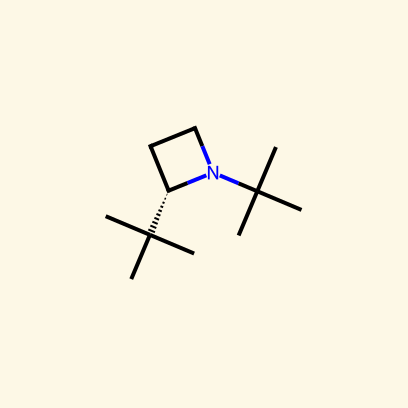 CC(C)(C)[C@@H]1CCN1C(C)(C)C